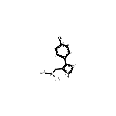 CCCN(C)Cc1[nH]cnc1-c1ccc(C#N)cc1